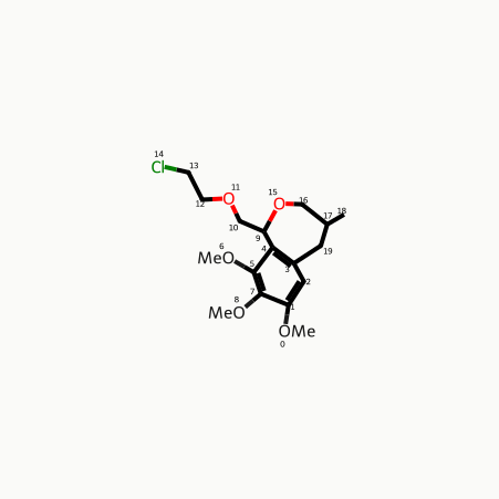 COc1cc2c(c(OC)c1OC)C(COCCCl)OCC(C)C2